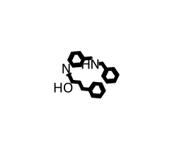 N#C[C@@H](O)CCc1ccccc1.c1ccc(CNCc2ccccc2)cc1